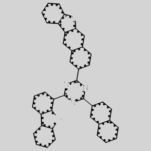 c1ccc2cc(-c3nc(-c4ccc5cc6oc7ccccc7c6cc5c4)nc(-c4cccc5c4oc4ccccc45)n3)ccc2c1